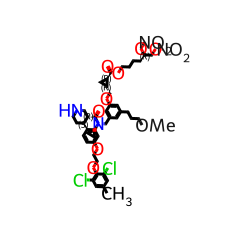 COCCCc1cc(CN(C(=O)[C@H]2CNCC[C@@H]2c2ccc(OCCOc3c(Cl)cc(C)cc3Cl)cc2)C2CC2)cc(OC[C@@H]2C[C@H]2C(=O)OCCCC[C@H](CO[N+](=O)[O-])O[N+](=O)[O-])c1